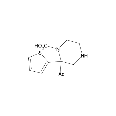 CC(=O)C1(c2cccs2)CNCCN1C(=O)O